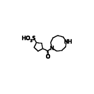 O=C(C1CCC(S(=O)(=O)O)C1)N1CCCCNCCC1